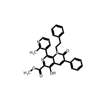 COC(=O)c1nc(-c2cccnc2C)c2c(cc(-c3ccccc3)c(=O)n2CCc2ccccc2)c1O